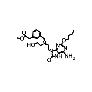 CCCCOc1nc(N)c2[nH]c(=O)n(CCN(CCO)Cc3cccc(CC(=O)OC)c3)c2n1